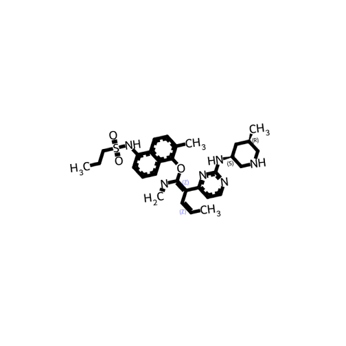 C=N/C(Oc1c(C)ccc2c(NS(=O)(=O)CCC)cccc12)=C(\C=C/C)c1ccnc(N[C@@H]2CNC[C@H](C)C2)n1